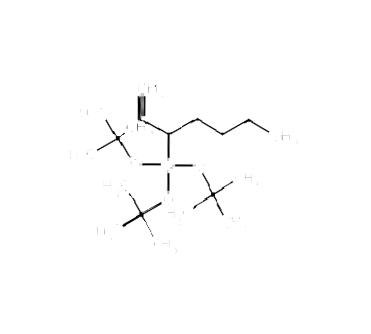 C=CC(CCCC)[Si](OC(C)(C)C)(OC(C)(C)C)OC(C)(C)C